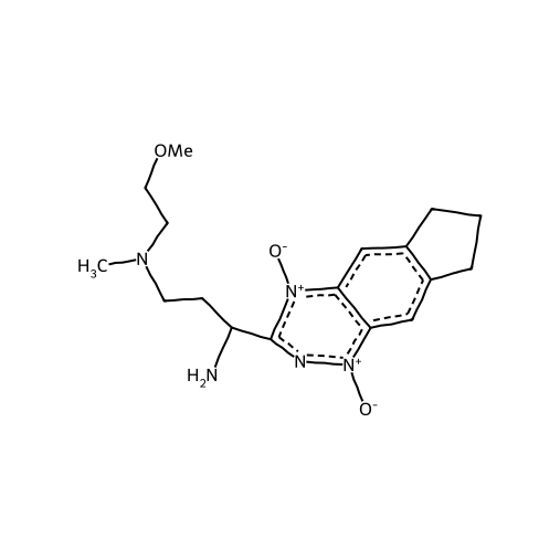 COCCN(C)CCC(N)c1n[n+]([O-])c2cc3c(cc2[n+]1[O-])CCC3